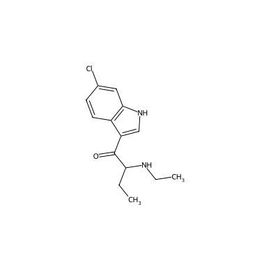 CCNC(CC)C(=O)c1c[nH]c2cc(Cl)ccc12